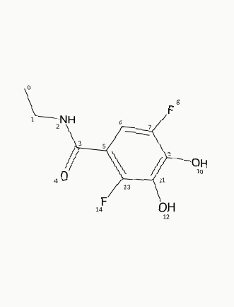 CCNC(=O)c1cc(F)c(O)c(O)c1F